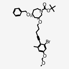 COCOc1cc(C)c(C#CCCCO[C@@H]2C[C@H](OCc3ccccc3)CCN(C(=O)OC(C)(C)C)C2)c(Br)c1